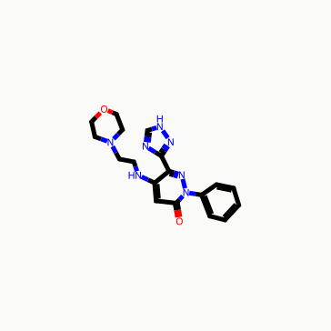 O=c1cc(NCCN2CCOCC2)c(-c2nc[nH]n2)nn1-c1ccccc1